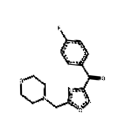 O=C(c1ccc(F)cc1)c1noc(CN2CCOCC2)n1